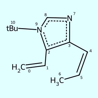 C=Cc1c(/C=C\C)ncn1C(C)(C)C